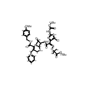 COc1ccc(COC(=O)C2=C(C[n+]3ccccc3)CSC3C(NC(=O)/C(=N\OC(C)(C)C(=O)OC(C)(C)C)c4nc(NC(=O)OC(C)(C)C)sc4Cl)C(=O)N23)cc1